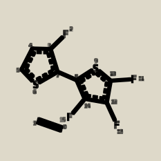 C=C.Fc1ccsc1-c1sc(F)c(F)c1F